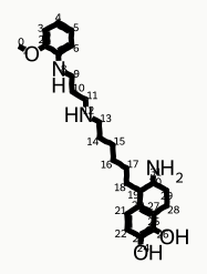 COc1ccccc1NCCCNCCCCCCC1c2ccc(O)c(O)c2CCC1N